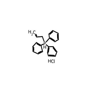 C=CC[PH](c1ccccc1)(c1ccccc1)c1ccccc1.Cl